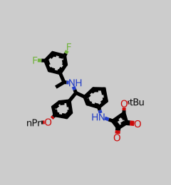 CCCOc1ccc(C(NC(C)c2cc(F)cc(F)c2)c2cccc(Nc3c(OC(C)(C)C)c(=O)c3=O)c2)cc1